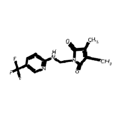 CC1=C(C)C(=O)N(CNc2ccc(C(F)(F)F)cn2)C1=O